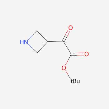 CC(C)(C)OC(=O)C(=O)C1CNC1